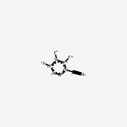 N#Cn1pnp(F)n(F)p1F